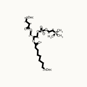 CCCCCCCCCCCCCCCCCC(=O)O[C@H](COC(=O)CCCCCCCCCCCC)COP(=O)([O-])OCC[N+](C)(C)C